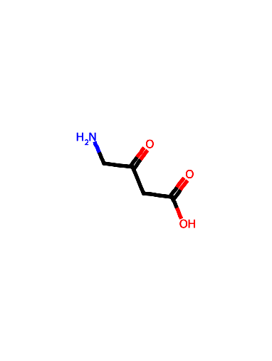 NCC(=O)CC(=O)O